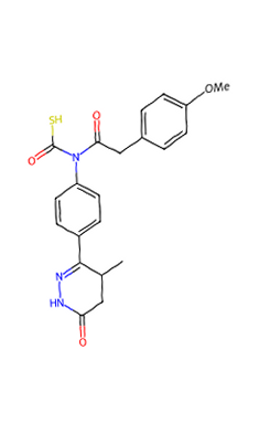 COc1ccc(CC(=O)N(C(=O)S)c2ccc(C3=NNC(=O)CC3C)cc2)cc1